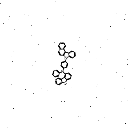 c1ccc(N(c2ccc(-n3c4ccccc4c4c5ccccc5ccc43)cc2)c2cccc3sc4ccccc4c23)cc1